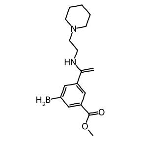 Bc1cc(C(=C)NCCN2CCCCC2)cc(C(=O)OC)c1